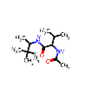 CC(=O)NC(C(=O)NC(C)C(C)(C)C)C(C)C